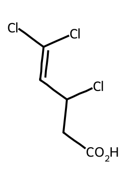 O=C(O)CC(Cl)C=C(Cl)Cl